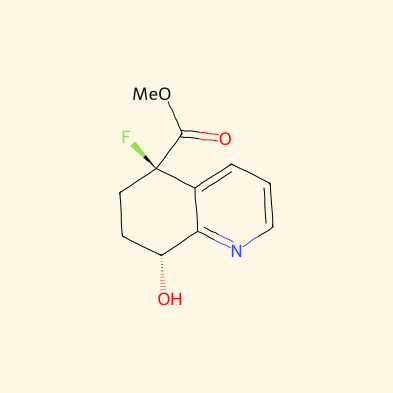 COC(=O)[C@@]1(F)CC[C@@H](O)c2ncccc21